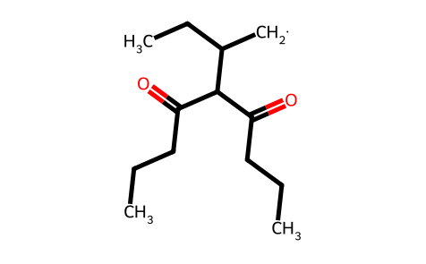 [CH2]C(CC)C(C(=O)CCC)C(=O)CCC